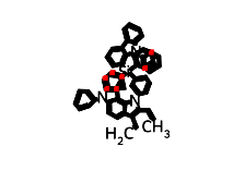 C=Cc1c(/C=C\C)n(-c2cccc([Si](c3ccccc3)(c3ccccc3)c3cccc4c5ccccc5n(-c5ccccc5)c34)c2)c2c1ccc1c2c2ccccc2n1-c1ccccc1